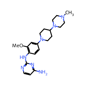 COc1cc(N2CCC(N3CCN(C)CC3)CC2)ccc1Nc1nccc(N)n1